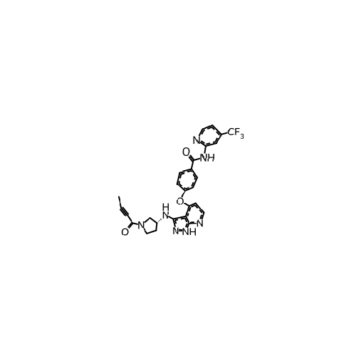 CC#CC(=O)N1CC[C@@H](Nc2n[nH]c3nccc(Oc4ccc(C(=O)Nc5cc(C(F)(F)F)ccn5)cc4)c23)C1